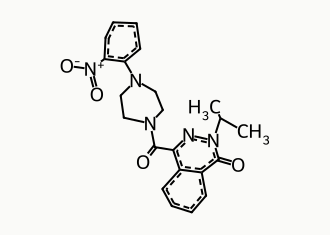 CC(C)n1nc(C(=O)N2CCN(c3ccccc3[N+](=O)[O-])CC2)c2ccccc2c1=O